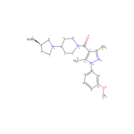 CC(=O)N[C@@H]1CCN(C2CCN(C(=O)c3c(C)nn(-c4cccc(OC(F)(F)F)c4)c3C)CC2)C1